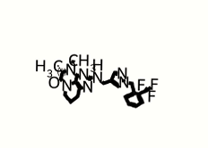 C[C@H]1C(=O)N2CCCc3nc(NCc4cnn(Cc5ccccc5C(F)(F)F)c4)nc(c32)N1C